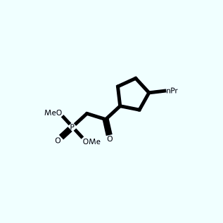 CCCC1CCC(C(=O)CP(=O)(OC)OC)C1